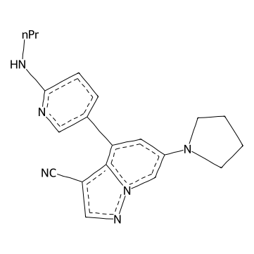 CCCNc1ccc(-c2cc(N3CCCC3)cn3ncc(C#N)c23)cn1